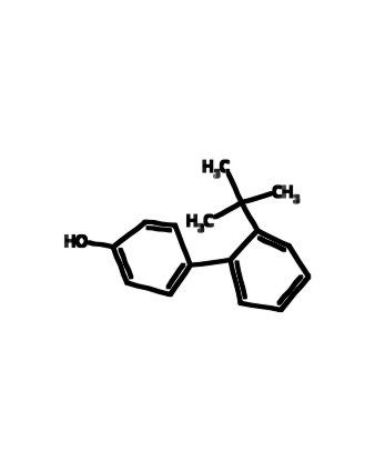 CC(C)(C)c1ccccc1-c1ccc(O)cc1